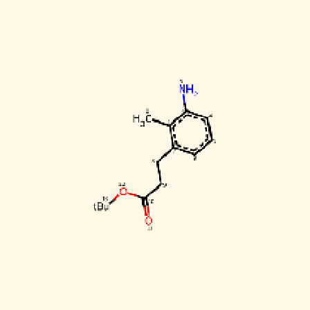 Cc1c(N)cccc1CCC(=O)OC(C)(C)C